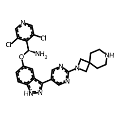 N[C@@H](Oc1ccc2[nH]nc(-c3cnc(N4CC5(CCNCC5)C4)nc3)c2c1)c1c(Cl)cncc1Cl